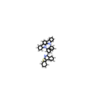 c1ccc(-n2c3ccccc3c3ccc4c5ccccc5n(-c5cccc(-c6nc7sc8ccccc8c7c7ccccc67)c5)c4c32)cc1